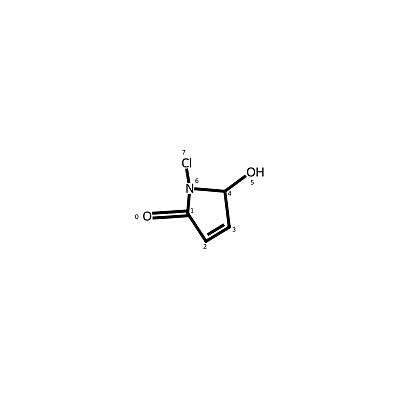 O=C1C=CC(O)N1Cl